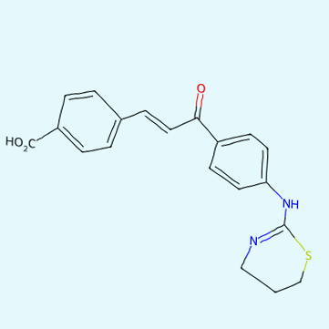 O=C(O)c1ccc(C=CC(=O)c2ccc(NC3=NCCCS3)cc2)cc1